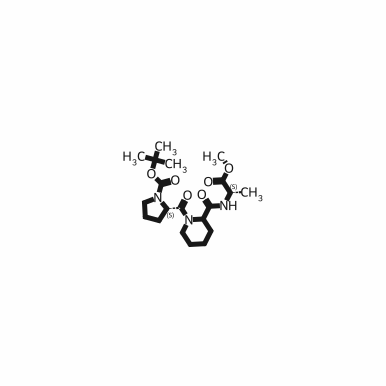 COC(=O)[C@H](C)NC(=O)C1CCCCN1C(=O)[C@@H]1CCCN1C(=O)OC(C)(C)C